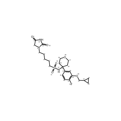 O=C1CN(CCCCCS(=O)(=O)NC2(c3ccc(F)c(OCC4CC4)c3)CCOCC2)C(=O)N1